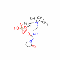 CC(C)N(CCNC(=O)CN1CCCC1=O)C(C)C.O=S(=O)(O)O